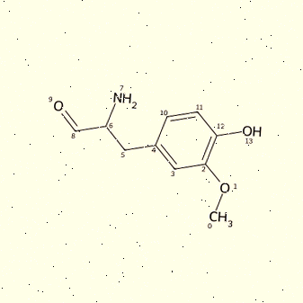 COc1cc(CC(N)[C]=O)ccc1O